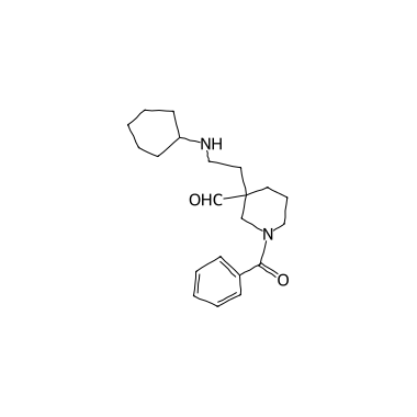 O=CC1(CCNC2CCCCC2)CCCN(C(=O)c2ccccc2)C1